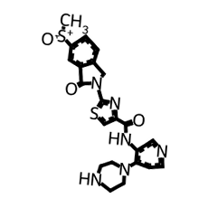 C[S+]([O-])c1ccc2c(c1)C(=O)N(c1nc(C(=O)Nc3cnccc3N3CCNCC3)cs1)C2